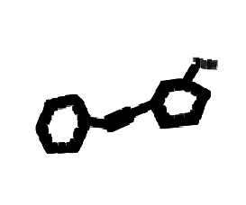 [TeH]c1cccc(C#Cc2c[c]ccc2)c1